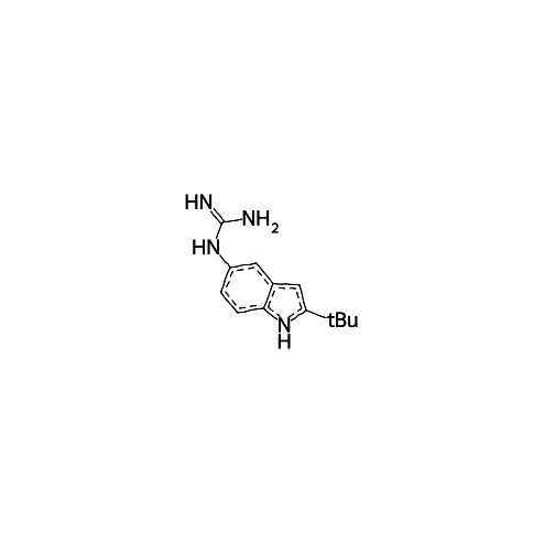 CC(C)(C)c1cc2cc(NC(=N)N)ccc2[nH]1